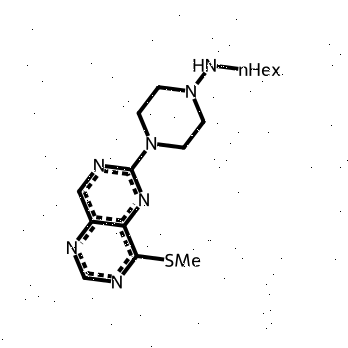 CCCCCCNN1CCN(c2ncc3ncnc(SC)c3n2)CC1